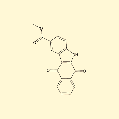 COC(=O)c1ccc2[nH]c3c(c2c1)C(=O)c1ccccc1C3=O